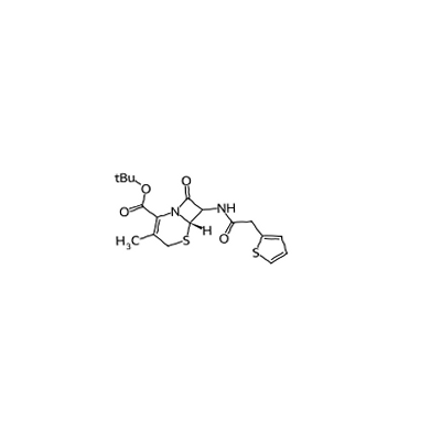 CC1=C(C(=O)OC(C)(C)C)N2C(=O)C(NC(=O)Cc3cccs3)[C@@H]2SC1